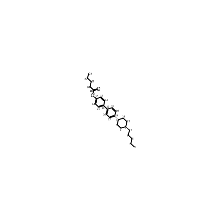 CCCCC[C@H]1CC[C@H](c2ccc(-c3ccc(OC(=O)CCCC)cc3)cc2)CC1